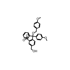 COc1ccc(COC(c2ccccc2)(c2ccc(OC)cc2)c2ccc(CO)cc2[N+](=O)[O-])cc1